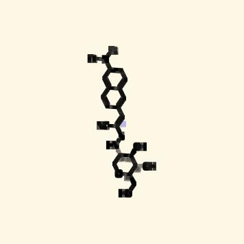 CCN(CC)c1ccc2cc(/C=C(\C#N)SN[C@H]3CO[C@H](CO)[C@@H](O)[C@@H]3O)ccc2c1